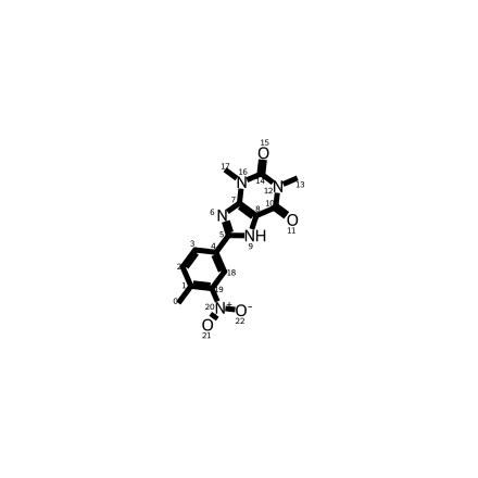 Cc1ccc(-c2nc3c([nH]2)c(=O)n(C)c(=O)n3C)cc1[N+](=O)[O-]